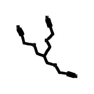 N#CCOCC(COCC#N)COCC#N